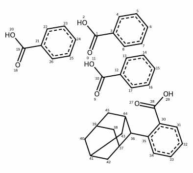 O=C(O)c1ccccc1.O=C(O)c1ccccc1.O=C(O)c1ccccc1.O=C(O)c1ccccc1C1C2CC3CC(C2)CC1C3